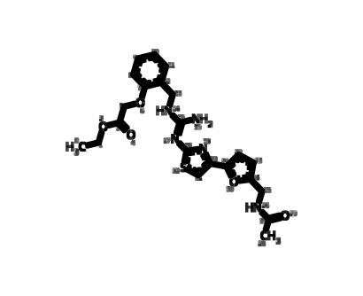 CCOC(=O)COc1ccccc1CN/C(N)=N/c1nc(-c2ccc(CNC(C)=O)o2)cs1